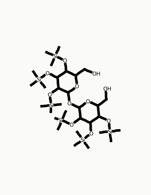 C[Si](C)(C)OC1C(CO)OC(OC2OC(CO)C(O[Si](C)(C)C)C(O[Si](C)(C)C)C2O[Si](C)(C)C)C(O[Si](C)(C)C)C1O[Si](C)(C)C